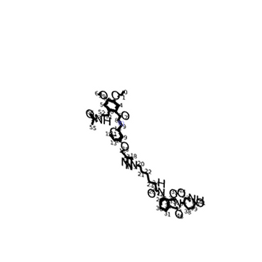 CCOc1cc(C(=O)/C=C/c2cccc(OCc3cn(CCCCCC(=O)Nc4cccc5c4C(=O)N(C4CCC(=O)NC4=O)C5=O)nn3)c2)c(CCNC(C)=O)cc1OC